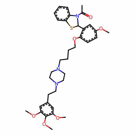 COc1ccc(OCCCCN2CCN(CCc3cc(OC)c(OC)c(OC)c3)CC2)c(C2Sc3ccccc3N2C(C)=O)c1